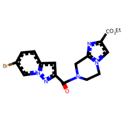 CCOC(=O)c1cn2c(n1)CN(C(=O)c1cc3ccc(Br)cn3n1)CC2